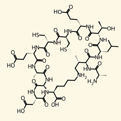 CC[C@H](C)[C@H](NC(=O)[C@H](C)N)C(=O)N[C@@H](CC(C)C)C(=O)N[C@H](C(=O)N[C@@H](CCC(=O)O)C(=O)N[C@@H](CS)C(=O)N[C@@H](CS)C(=O)N[C@@H](CCC(=O)O)C(=O)N[C@@H](C)C(=O)N[C@@H](C)C(=O)N[C@@H](CC(=O)O)C(=O)N[C@@H](CCCCN)C(=O)O)[C@@H](C)O